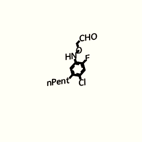 CCCCCc1cc(NOCC=O)c(F)cc1Cl